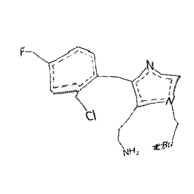 CC(C)(C)Cn1cnc(-c2ccc(F)cc2Cl)c1CN